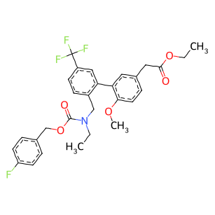 CCOC(=O)Cc1ccc(OC)c(-c2cc(C(F)(F)F)ccc2CN(CC)C(=O)OCc2ccc(F)cc2)c1